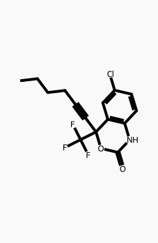 CCCCC#CC1(C(F)(F)F)OC(=O)Nc2ccc(Cl)cc21